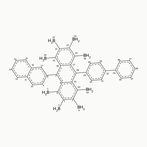 Bc1c(B)c(B)c2c(-c3ccc4ccccc4c3)c3c(B)c(B)c(B)c(B)c3c(-c3ccc(-c4ccccc4)cc3)c2c1B